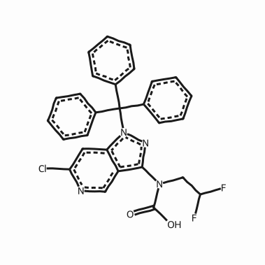 O=C(O)N(CC(F)F)c1nn(C(c2ccccc2)(c2ccccc2)c2ccccc2)c2cc(Cl)ncc12